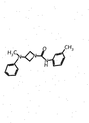 Cc1cccc(NC(=O)N2CC(N(C)c3ccccc3)C2)c1